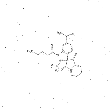 CCCCC(=O)Oc1cc(C(C)C)ccc1C1(NC(C)=O)C(=O)C2=CCCC=C2C1=O